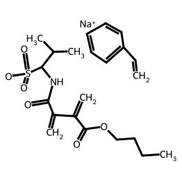 C=C(C(=C)C(=O)OCCCC)C(=O)NC(C(C)C)S(=O)(=O)[O-].C=Cc1ccccc1.[Na+]